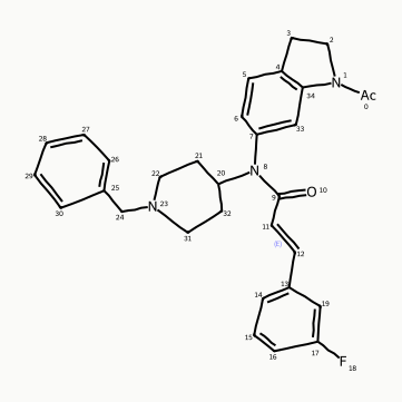 CC(=O)N1CCc2ccc(N(C(=O)/C=C/c3cccc(F)c3)C3CCN(Cc4ccccc4)CC3)cc21